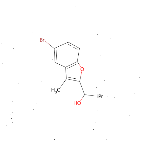 Cc1c(C(O)C(C)C)oc2ccc(Br)cc12